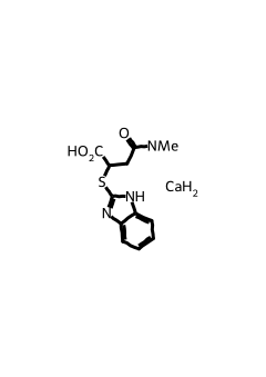 CNC(=O)CC(Sc1nc2ccccc2[nH]1)C(=O)O.[CaH2]